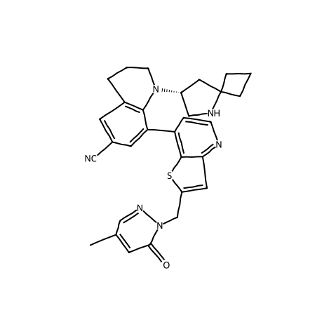 Cc1cnn(Cc2cc3nccc(-c4cc(C#N)cc5c4N([C@H]4CNC6(CCC6)C4)CCC5)c3s2)c(=O)c1